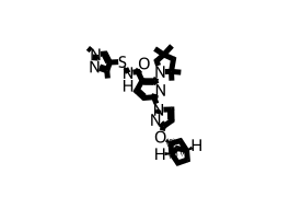 Cc1nn(C)cc1SNC(=O)c1ccc(-n2ccc(O[C@H]3C[C@@H]4CC[C@H]3C4)n2)nc1N1CC(C)(C)CC1(C)C